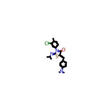 Cc1ccc(N2C(=O)/C(=C/c3ccc(N(C)C)cc3)S/C2=N\C(C)C)cc1Cl